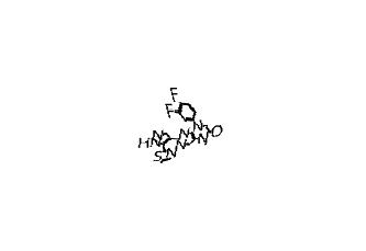 CN1C(=O)CN(c2ccc(F)c(F)c2)c2nc(-c3cn[nH]c3-c3nccs3)ncc21